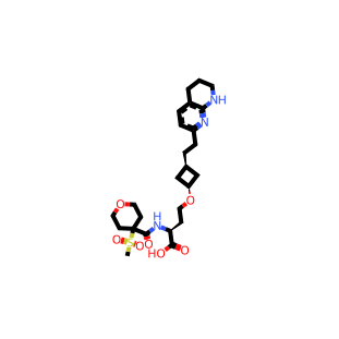 CS(=O)(=O)C1(C(=O)N[C@@H](CCO[C@H]2C[C@H](CCc3ccc4c(n3)NCCC4)C2)C(=O)O)CCOCC1